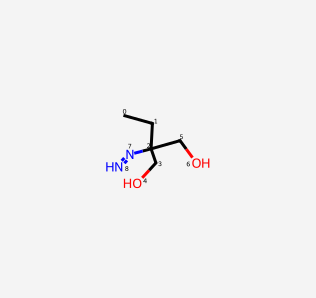 CCC(CO)(CO)N=N